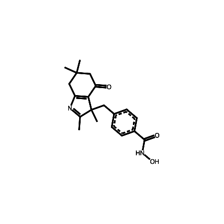 CC1=NC2=C(C(=O)CC(C)(C)C2)C1(C)Cc1ccc(C(=O)NO)cc1